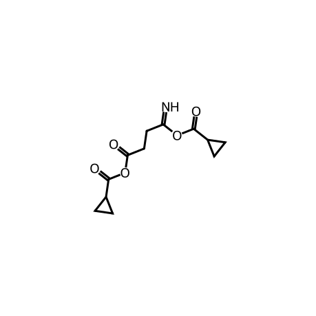 N=C(CCC(=O)OC(=O)C1CC1)OC(=O)C1CC1